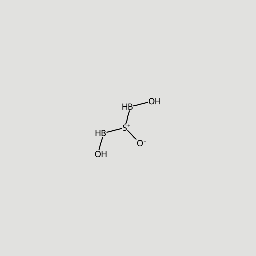 [O-][S+](BO)BO